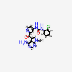 CC(C)n1cc(C(=O)c2cc(NC(=O)Nc3ccccc3Cl)ccn2)c2c(N)ncnc21